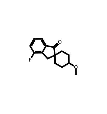 COC1CCC2(CC1)Cc1c(F)cccc1C2=O